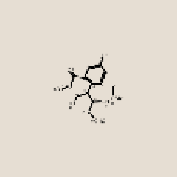 CCCCOC(=O)c1cc(CC)ccc1C(CO)C(O)OC=O.COC